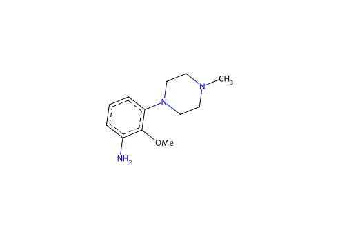 COc1c(N)cccc1N1CCN(C)CC1